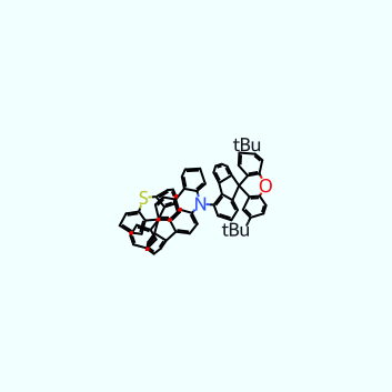 CC(C)(C)c1ccc2c(c1)C1(c3cc(C(C)(C)C)ccc3O2)c2ccccc2-c2c(N(c3ccc4c(c3)C3(c5ccccc5Sc5ccccc53)c3ccccc3-4)c3ccccc3-c3ccc(-c4ccccc4)cc3)cccc21